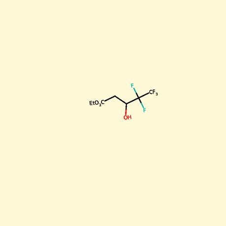 CCOC(=O)CC(O)C(F)(F)C(F)(F)F